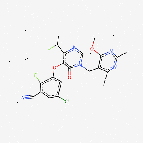 COc1nc(C)nc(C)c1Cn1cnc(C(C)F)c(Oc2cc(Cl)cc(C#N)c2F)c1=O